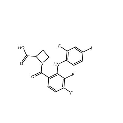 O=C(O)C1CCN1C(=O)c1ccc(F)c(F)c1Nc1ccc(I)cc1F